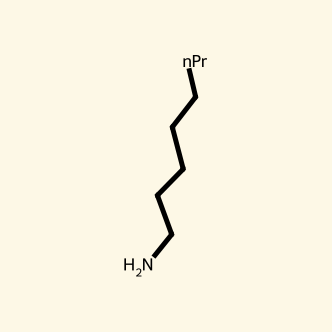 [CH2]CCCCCCCN